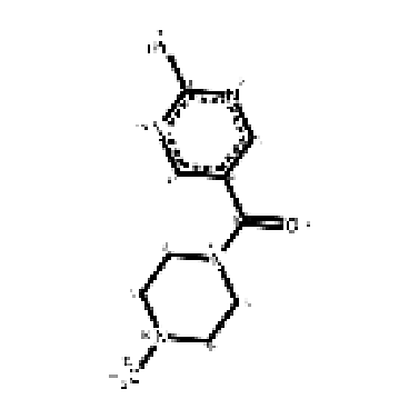 CC(C)c1ncc(C(=O)N2CCN(C)CC2)cn1